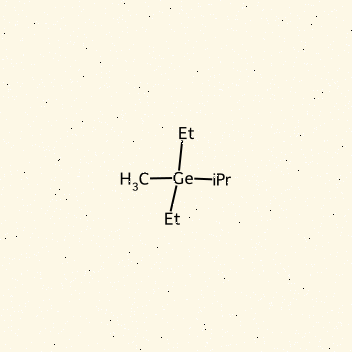 C[CH2][Ge]([CH3])([CH2]C)[CH](C)C